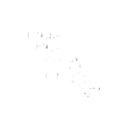 Cl.N=C(N)Nc1ccc(C(=O)Oc2cc3c(cc2F)C(=O)NC3)cc1